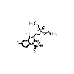 CCOP(=O)(CCn1c(=O)c2cc(F)ccc2n2c(=S)[nH]nc12)OCC